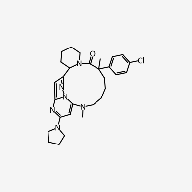 CN1CCCCC(C)(c2ccc(Cl)cc2)C(=O)N2CCCCC2c2cc3nc(N4CCCC4)cc1n3n2